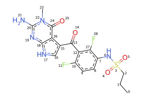 CCCS(=O)(=O)Nc1ccc(F)c(C(=O)c2c[nH]c3nc(N)n(C)c(=O)c23)c1F